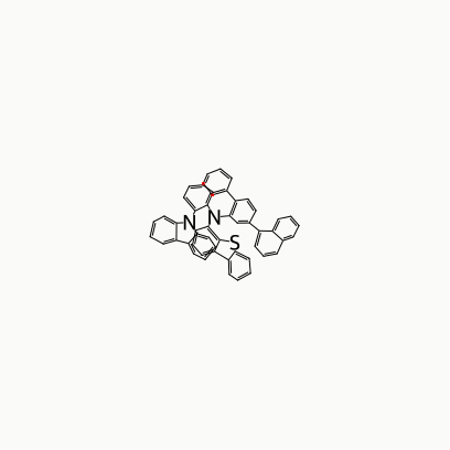 c1ccc(-c2ccc(-c3cccc4ccccc34)cc2N(c2ccccc2-n2c3ccccc3c3ccccc32)c2cccc3c2sc2ccccc23)cc1